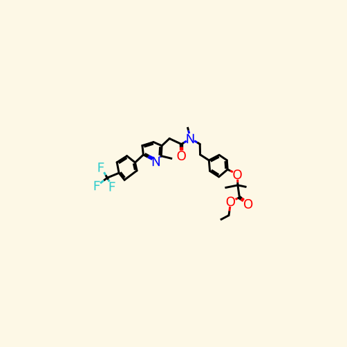 CCOC(=O)C(C)(C)Oc1ccc(CCN(C)C(=O)Cc2ccc(-c3ccc(C(F)(F)F)cc3)nc2C)cc1